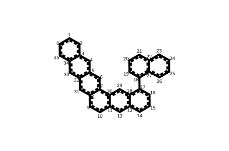 c1ccc2cc3cc4c(ccc5cc6cccc(-c7cccc8ccccc78)c6cc54)cc3cc2c1